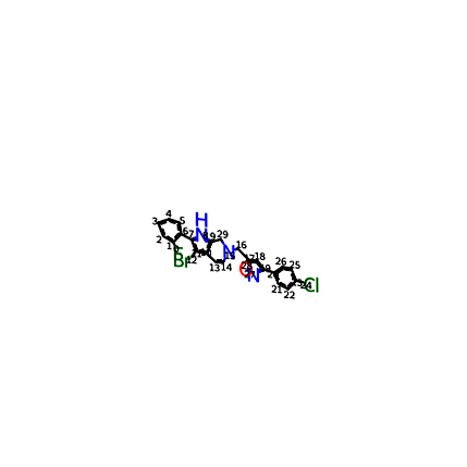 Fc1ccccc1-c1[nH]c2c(c1Br)C=CN(Cc1cc(-c3ccc(Cl)cc3)no1)C2